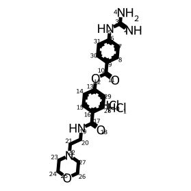 Cl.Cl.N=C(N)Nc1ccc(C(=O)Oc2ccc(C(=O)NCCN3CCOCC3)cc2)cc1